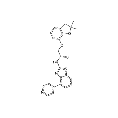 CC1(C)Cc2cccc(OCC(=O)Nc3nc4c(-c5ccncc5)cccc4s3)c2O1